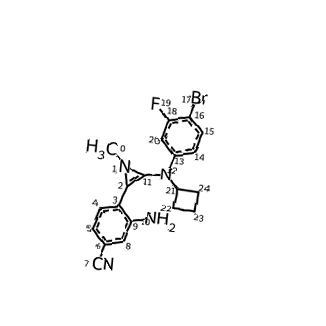 CN1C(c2ccc(C#N)cc2N)=C1N(c1ccc(Br)c(F)c1)C1CCC1